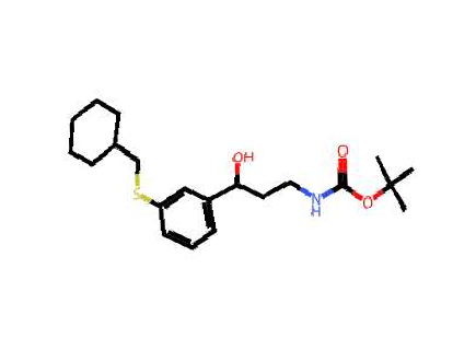 CC(C)(C)OC(=O)NCCC(O)c1cccc(SCC2CCCCC2)c1